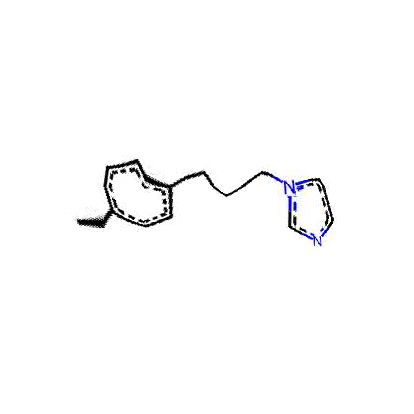 Cc1ccc(CCCn2ccnc2)cc1